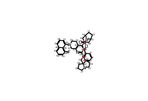 O=C(OCc1ccccc1)N1C2CCC1CN(c1nc(OCC34CCCN3CCC4)nc3c1CCN(c1cccc4cccc(F)c14)C3)C2